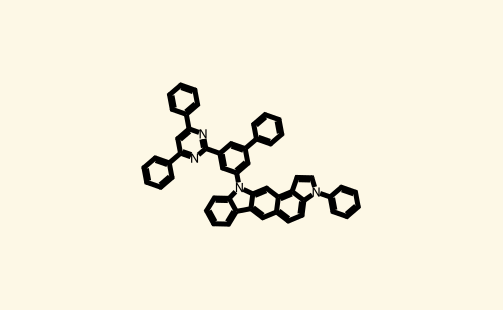 c1ccc(-c2cc(-c3nc(-c4ccccc4)cc(-c4ccccc4)n3)cc(-n3c4ccccc4c4cc5ccc6c(ccn6-c6ccccc6)c5cc43)c2)cc1